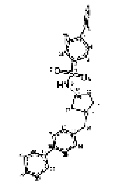 N#Cc1ccc(S(=O)(=O)N[C@@H]2CCN(Cc3ccc(-c4ccccc4)cc3)C2)cn1